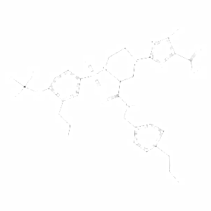 CCCc1ccc(CNC(=O)C2CN(c3nc(C)c(C(=O)O)s3)CCN2S(=O)(=O)c2ccc(OC(F)(F)F)c(CCC)c2)cc1